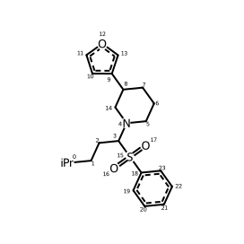 CC(C)CCC(N1CCCC(c2ccoc2)C1)S(=O)(=O)c1ccccc1